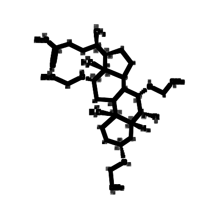 CC[C@H]1[C@@H](OCOC)C2C3CC[C@H]([C@H](C)CCC(=O)OC)[C@@]3(C)[C@@H](OCOC)CC2[C@@]2(C)CC[C@@H](OCOC)C[C@@H]12